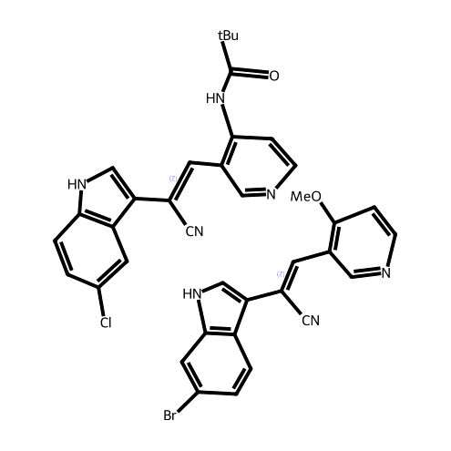 CC(C)(C)C(=O)Nc1ccncc1/C=C(\C#N)c1c[nH]c2ccc(Cl)cc12.COc1ccncc1/C=C(\C#N)c1c[nH]c2cc(Br)ccc12